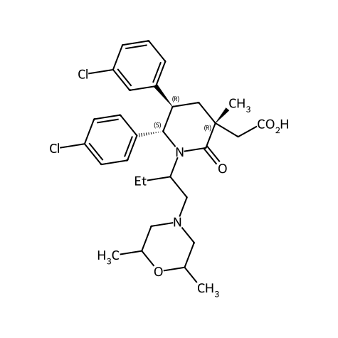 CCC(CN1CC(C)OC(C)C1)N1C(=O)[C@@](C)(CC(=O)O)C[C@H](c2cccc(Cl)c2)[C@H]1c1ccc(Cl)cc1